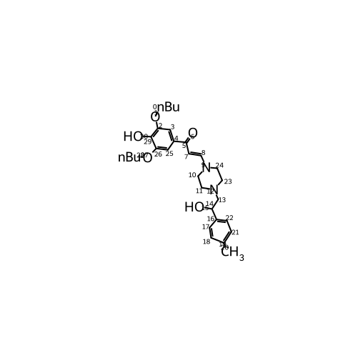 CCCCOc1cc(C(=O)C=CN2CCN(CC(O)c3ccc(C)cc3)CC2)cc(OCCCC)c1O